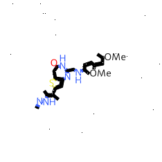 C=NN/C(C)=C(\C)c1cc2c(s1)CC(=O)NC(CNC(C)/C=C\C(=C/C(C)OC)OC)=N2